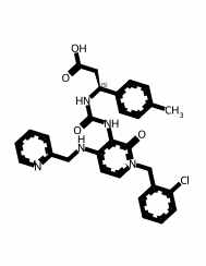 Cc1ccc([C@H](CC(=O)O)NC(=O)Nc2c(NCc3ccccn3)ccn(Cc3ccccc3Cl)c2=O)cc1